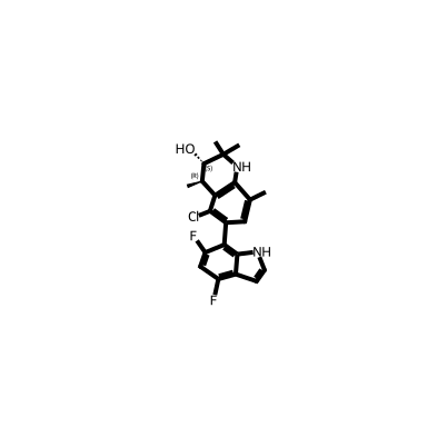 Cc1cc(-c2c(F)cc(F)c3cc[nH]c23)c(Cl)c2c1NC(C)(C)[C@@H](O)[C@@H]2C